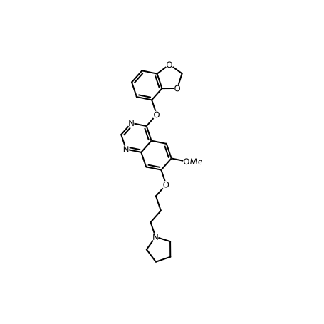 COc1cc2c(Oc3cccc4c3OCO4)ncnc2cc1OCCCN1CCCC1